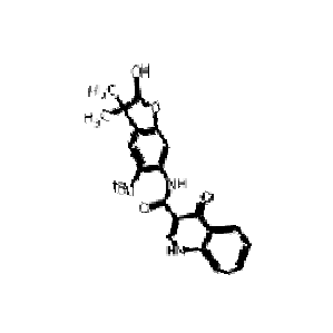 CC(C)(C)c1cc2c(cc1NC(=O)c1c[nH]c3ccccc3c1=O)OC(O)C2(C)C